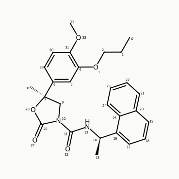 CCCOc1cc([C@@]2(C)CN(C(=O)N[C@H](C)c3cccc4ccccc34)C(=O)O2)ccc1OC